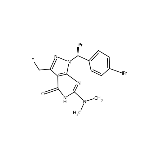 CC(C)c1ccc([C@H](C(C)C)n2nc(CF)c3c(=O)[nH]c(N(C)C)nc32)cc1